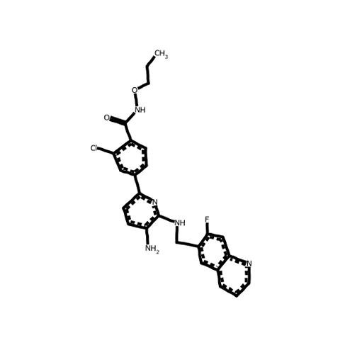 CCCONC(=O)c1ccc(-c2ccc(N)c(NCc3cc4cccnc4cc3F)n2)cc1Cl